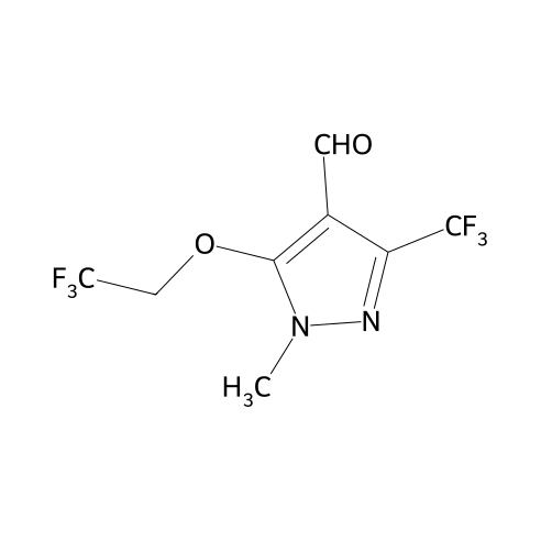 Cn1nc(C(F)(F)F)c(C=O)c1OCC(F)(F)F